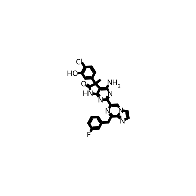 CC1(c2ccc(Cl)c(O)c2)C(=O)Nc2nc(-c3cn4ccnc4c(Cc4cccc(F)c4)n3)nc(N)c21